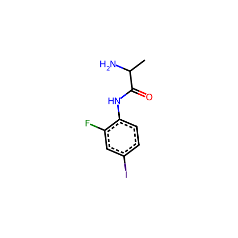 CC(N)C(=O)Nc1ccc(I)cc1F